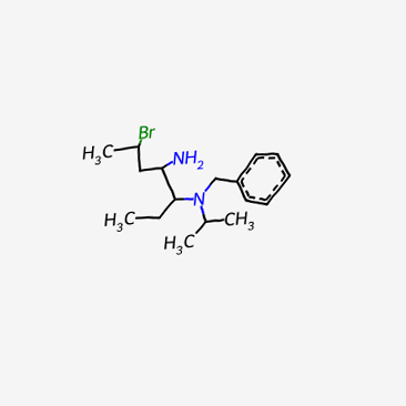 CCC(C(N)CC(C)Br)N(Cc1ccccc1)C(C)C